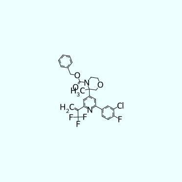 C=C(c1cc(C2(C)COCCN2C(=O)OCc2ccccc2)cc(-c2ccc(F)c(Cl)c2)n1)C(F)(F)F